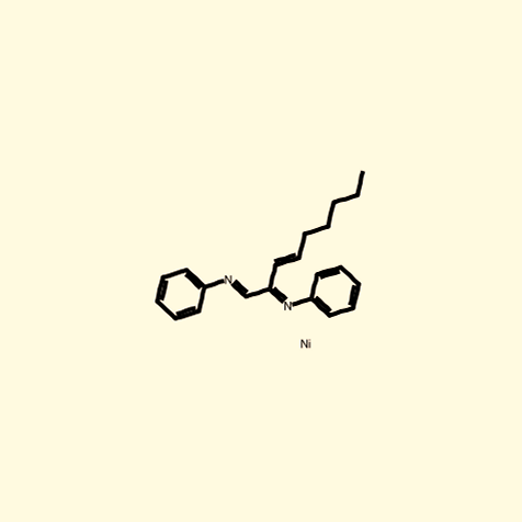 CCCCC/C=C/C(/C=N/c1ccccc1)=N\c1ccccc1.[Ni]